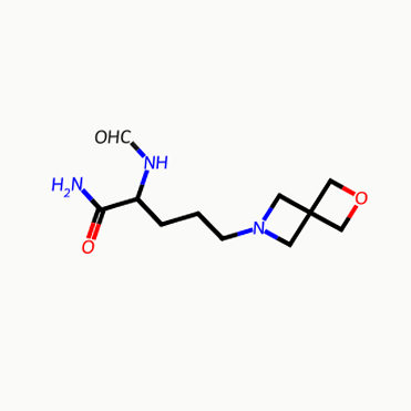 NC(=O)C(CCCN1CC2(COC2)C1)NC=O